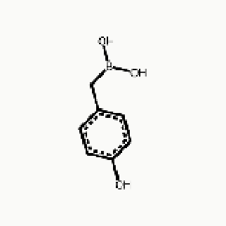 OB(O)Cc1ccc(O)cc1